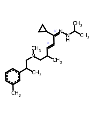 Cc1cccc(C(C)CN(C)CC(C)/C=C/C(=N\NC(C)C)C2CC2)c1